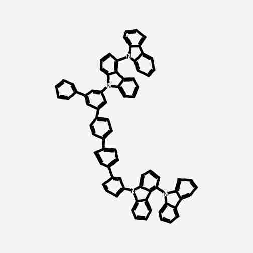 c1ccc(-c2cc(-c3ccc(-c4ccc(-c5cccc(-n6c7ccccc7c7c(-n8c9ccccc9c9ccccc98)cccc76)c5)cc4)cc3)cc(-n3c4ccccc4c4c(-n5c6ccccc6c6ccccc65)cccc43)c2)cc1